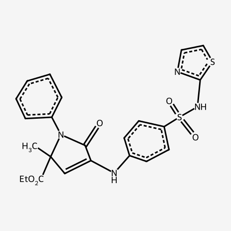 CCOC(=O)C1(C)C=C(Nc2ccc(S(=O)(=O)Nc3nccs3)cc2)C(=O)N1c1ccccc1